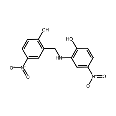 O=[N+]([O-])c1ccc(O)c(CNc2cc([N+](=O)[O-])ccc2O)c1